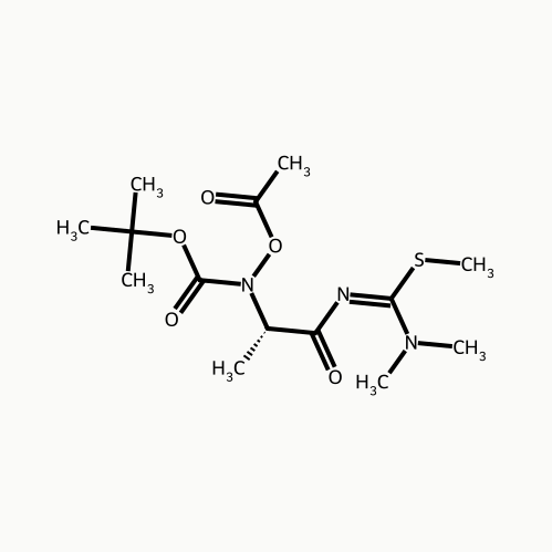 CS/C(=N/C(=O)[C@H](C)N(OC(C)=O)C(=O)OC(C)(C)C)N(C)C